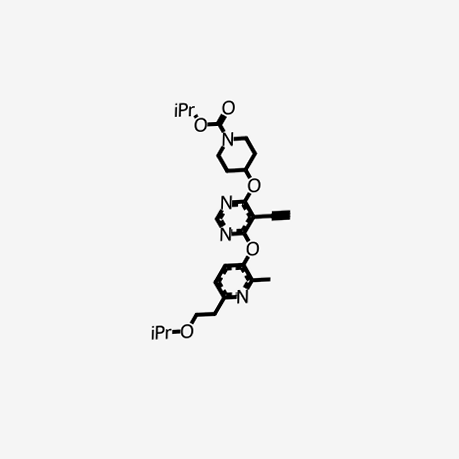 C#Cc1c(Oc2ccc(CCOC(C)C)nc2C)ncnc1OC1CCN(C(=O)OC(C)C)CC1